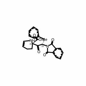 COC(=O)[C@@]1(C(=O)[C@H](Cc2ccccc2)N2C(=O)c3ccccc3C2=O)CCC=CN1